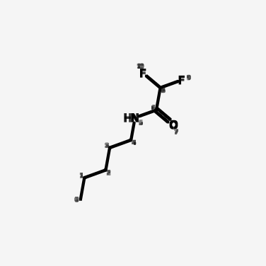 CCCCCNC(=O)C(F)F